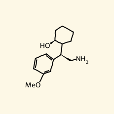 COc1cccc([C@H](CN)C2CCCC[C@@H]2O)c1